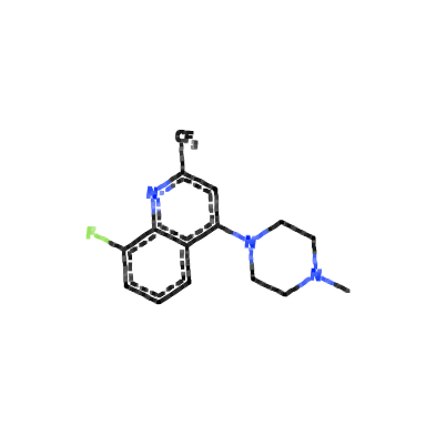 CN1CCN(c2cc(C(F)(F)F)nc3c(F)cccc23)CC1